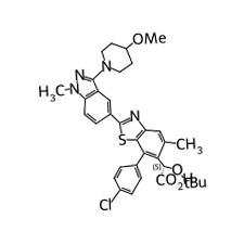 COC1CCN(c2nn(C)c3ccc(-c4nc5cc(C)c([C@H](OC(C)(C)C)C(=O)O)c(-c6ccc(Cl)cc6)c5s4)cc23)CC1